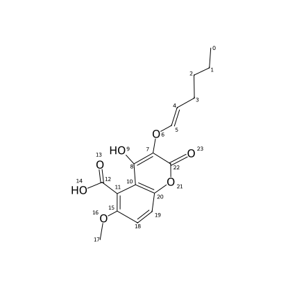 CCCCC=COc1c(O)c2c(C(=O)O)c(OC)ccc2oc1=O